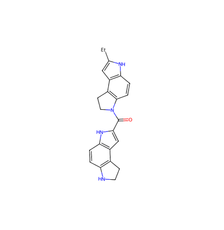 CCc1cc2c3c(ccc2[nH]1)N(C(=O)c1cc2c4c(ccc2[nH]1)NCC4)CC3